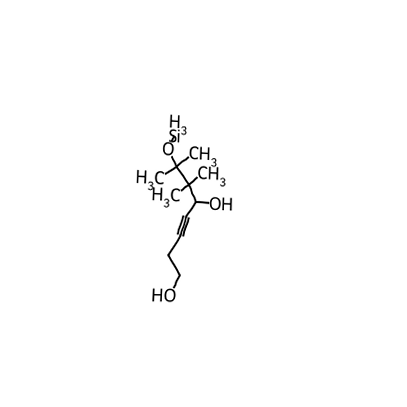 CC(C)(O[SiH3])C(C)(C)C(O)C#CCCO